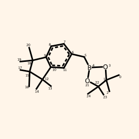 CC1(C)OB(Cc2ccc3c(c2)C(C)(C)C(C)(C)C3(C)C)OC1(C)C